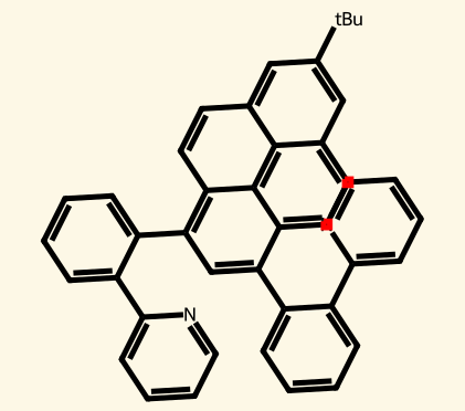 CC(C)(C)c1cc2ccc3c(-c4ccccc4-c4ccccn4)cc(-c4ccccc4-c4ccccn4)c4ccc(c1)c2c34